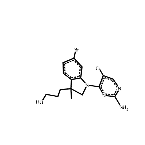 CC1(CCCO)CN(c2nc(N)ncc2Cl)c2cc(Br)ccc21